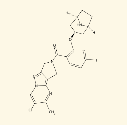 Cc1nc2c3c(nn2cc1Cl)CN(C(=O)c1ccc(F)cc1O[C@H]1C[C@H]2CC[C@@H](C1)N2)C3